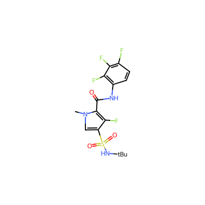 Cn1cc(S(=O)(=O)NC(C)(C)C)c(F)c1C(=O)Nc1ccc(F)c(F)c1F